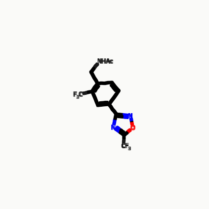 CC(=O)NCc1ccc(-c2noc(C(F)(F)F)n2)cc1C(F)(F)F